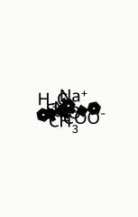 Cc1c(-c2cc(C(=O)[O-])c3c(O[C@H]4C[C@H](c5ccccc5)C4)ccc(C)c3n2)sc2ccccc12.[Na+]